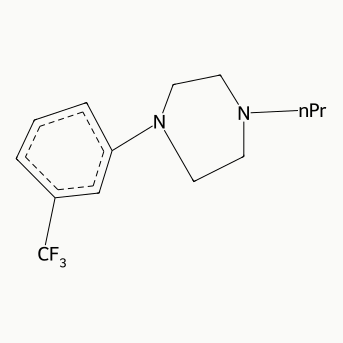 [CH2]CCN1CCN(c2cccc(C(F)(F)F)c2)CC1